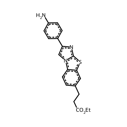 CCOC(=O)CCc1ccc2c(c1)sc1nc(-c3ccc(N)cc3)cn12